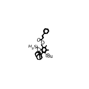 Cc1c(C)c(C(C)(C)C)c(C23CC4CC(CC(C4)C2)C3)c(O[SiH3])c1COC(=O)C=Cc1ccccc1